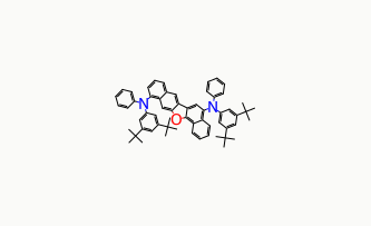 CC(C)(C)c1cc(N(c2ccccc2)c2cccc3cc4c(cc23)oc2c3ccccc3c(N(c3ccccc3)c3cc(C(C)(C)C)cc(C(C)(C)C)c3)cc42)cc(C(C)(C)C)c1